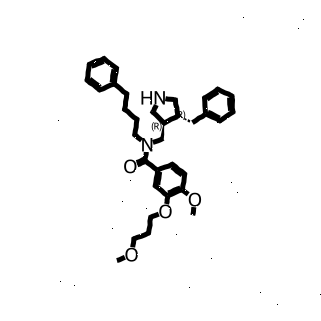 COCCCOc1cc(C(=O)N(CCCCc2ccccc2)C[C@H]2CNC[C@@H]2Cc2ccccc2)ccc1OC